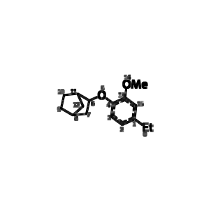 CCc1ccc(OC2CC3CCC2C3)c(OC)c1